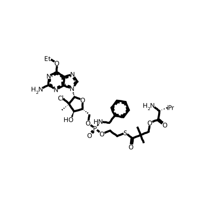 CCOc1nc(N)nc2c1ncn2[C@@H]1O[C@H](CO[P@](=O)(NCc2ccccc2)OCCSC(=O)C(C)(C)COC(=O)[C@H](N)C(C)C)[C@@H](O)[C@@]1(C)Cl